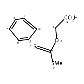 CSC(=S)OCC(=O)O.c1ccccc1